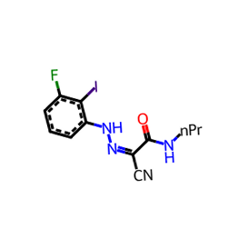 CCCNC(=O)C(C#N)=NNc1cccc(F)c1I